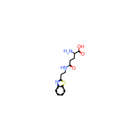 NC(CCC(=O)NCCc1nc2ccccc2s1)C(=O)O